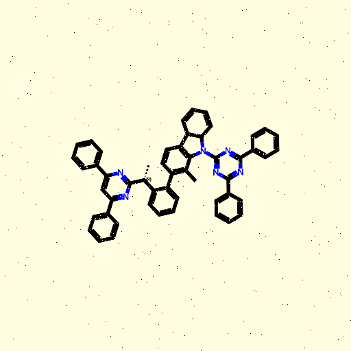 Cc1c(-c2ccccc2[C@@H](C)c2nc(-c3ccccc3)cc(-c3ccccc3)n2)ccc2c1N(c1nc(-c3ccccc3)nc(-c3ccccc3)n1)C1C=CC=CC21